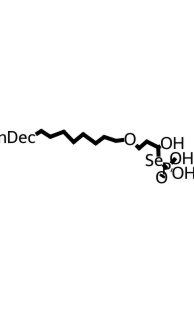 CCCCCCCCCCCCCCCCCCOCCC(O)[Se]P(=O)(O)O